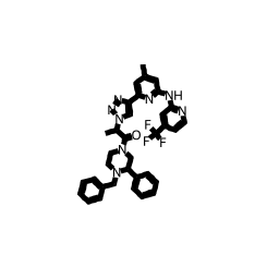 Cc1cc(Nc2cc(C(F)(F)F)ccn2)nc(-c2cn(C(C)C(=O)N3CCN(Cc4ccccc4)C(c4ccccc4)C3)nn2)c1